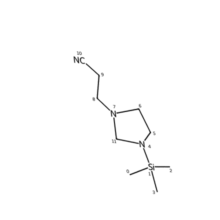 C[Si](C)(C)N1CCN(CCC#N)C1